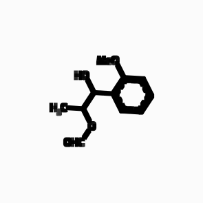 COc1ccccc1C(O)C(C)OC=O